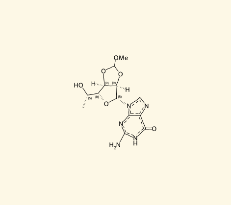 COC1O[C@H]2[C@@H](O1)[C@H](n1cnc3c(=O)[nH]c(N)nc31)O[C@@H]2[C@H](C)O